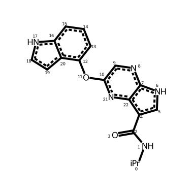 CC(C)NC(=O)c1c[nH]c2ncc(Oc3cccc4[nH]ccc34)nc12